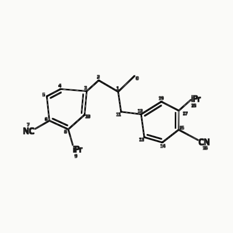 CC(Cc1ccc(C#N)c(C(C)C)c1)Cc1ccc(C#N)c(C(C)C)c1